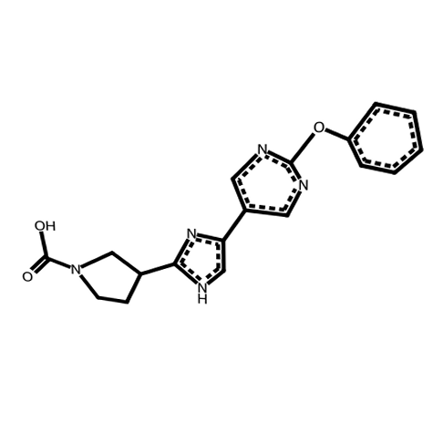 O=C(O)N1CCC(c2nc(-c3cnc(Oc4ccccc4)nc3)c[nH]2)C1